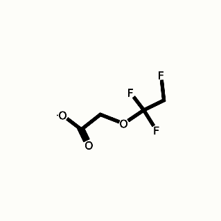 [O]C(=O)COC(F)(F)CF